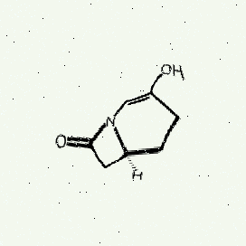 O=C1C[C@@H]2CCC(O)=CN12